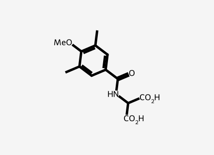 COc1c(C)cc(C(=O)NC(C(=O)O)C(=O)O)cc1C